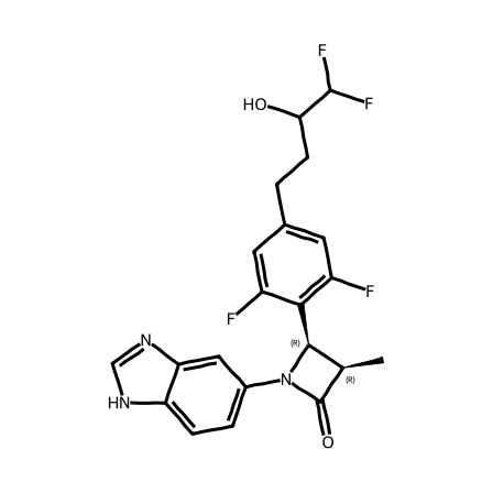 C[C@H]1C(=O)N(c2ccc3[nH]cnc3c2)[C@H]1c1c(F)cc(CCC(O)C(F)F)cc1F